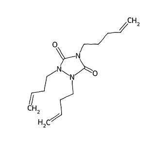 C=CCCCn1c(=O)n(CCC=C)n(CCC=C)c1=O